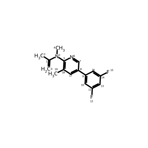 C=C(C)N(C)c1ncc(-c2cc(F)cc(F)c2)cc1C